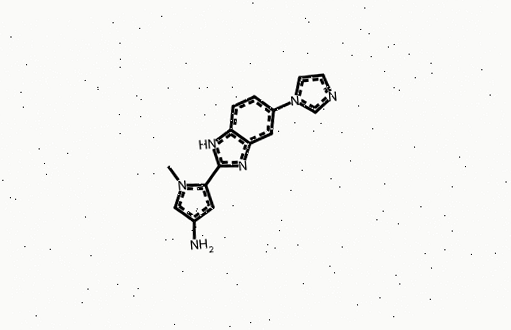 Cn1cc(N)cc1-c1nc2cc(-n3ccnc3)ccc2[nH]1